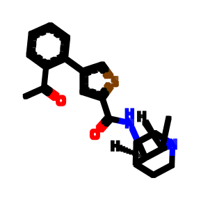 CC(=O)c1ccccc1-c1csc(C(=O)N[C@@H]2C3CCN(CC3)[C@H]2C)c1